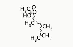 CC(C)=CCCC(C)=CCCC(C)=CCC1OC(=O)C(C)=C1O